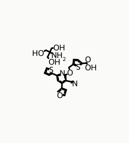 N#Cc1c(-c2ccoc2)cc(-c2cccs2)nc1OCc1ccc(C(=O)O)s1.NC(CO)(CO)CO